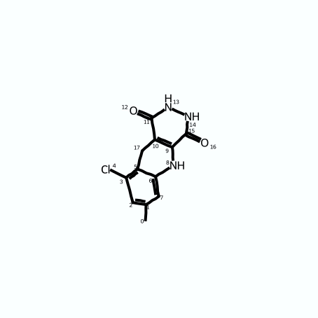 Cc1cc(Cl)c2c(c1)Nc1c(c(=O)[nH][nH]c1=O)C2